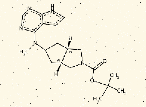 CN(c1ncnc2[nH]ccc12)C1C[C@@H]2CN(C(=O)OC(C)(C)C)C[C@@H]2C1